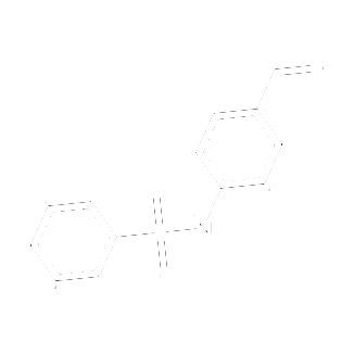 O=Cc1ccc(NS(=O)(=O)c2ccccc2)cc1